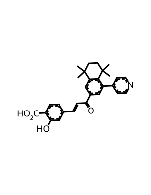 CC1(C)CCC(C)(C)c2c(-c3ccncc3)cc(C(=O)/C=C/c3ccc(C(=O)O)c(O)c3)cc21